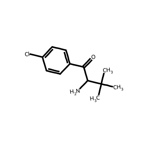 CC(C)(C)C(N)C(=O)c1ccc(Cl)cc1